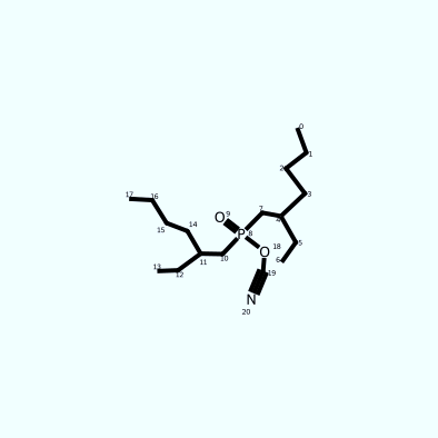 CCCCC(CC)CP(=O)(CC(CC)CCCC)OC#N